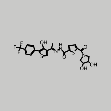 C/C(=N\NC(=O)c1ccc(C(=O)N2CC(O)C(O)C2)s1)c1csc(-c2ccc(C(F)(F)F)cc2)c1O